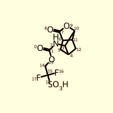 O=C(NC1C2CC3C(=O)OC1C3C2)OCC(F)(F)S(=O)(=O)O